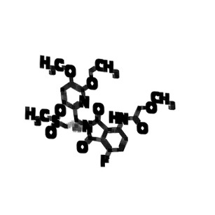 CCOc1nc([C@@H](CS(C)(=O)=O)N2C(=O)c3c(F)ccc(NC(=O)COC)c3C2=O)ccc1OC